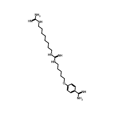 N=C(N)NCCCCCCCCNC(=N)NCCCCCOc1ccc(C(=N)N)cc1